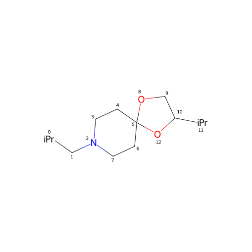 CC(C)CN1CCC2(CC1)OCC(C(C)C)O2